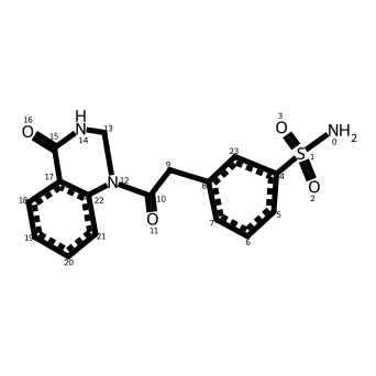 NS(=O)(=O)c1cccc(CC(=O)N2CNC(=O)c3ccccc32)c1